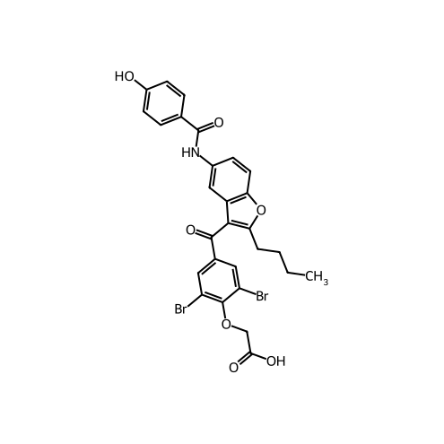 CCCCc1oc2ccc(NC(=O)c3ccc(O)cc3)cc2c1C(=O)c1cc(Br)c(OCC(=O)O)c(Br)c1